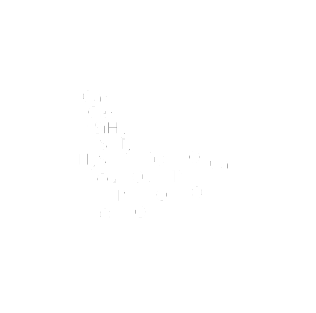 O=P([O-])([O-])[O-].O=P([O-])([O-])[O-].[Ca+2].[Ca+2].[Ca+2].[SiH4].[SiH4].[SiH4]